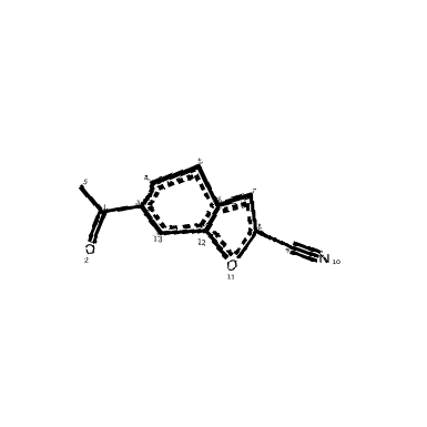 CC(=O)c1ccc2cc(C#N)oc2c1